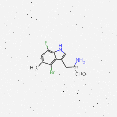 Cc1cc(F)c2[nH]cc(C[C@H](N)[C]=O)c2c1Br